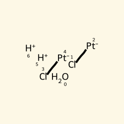 O.[Cl][Pt-].[Cl][Pt-].[H+].[H+]